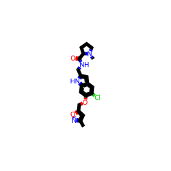 Cc1cc(COc2cc3[nH]c(CNC(=O)C4CCCN4C)cc3cc2Cl)on1